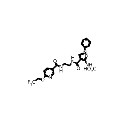 O=C(O)Nc1nn(-c2ccccc2)cc1C(=O)NCCNC(=O)c1ccc(OCC(F)(F)F)nc1